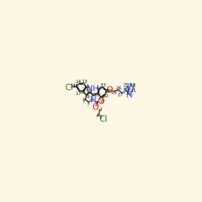 O=C(OCCCl)N1CCc2c([nH]c3ccc(Cl)cc23)C1c1ccc(OCCCn2cncn2)cc1